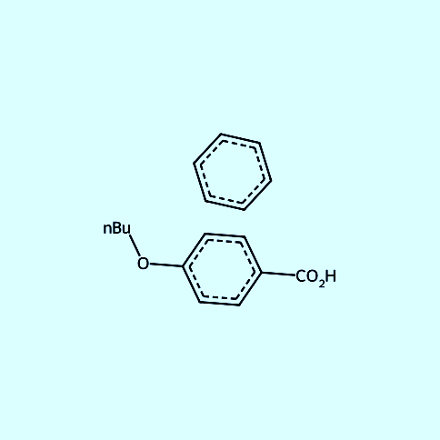 CCCCOc1ccc(C(=O)O)cc1.c1ccccc1